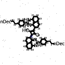 CCCCCCCCCCCCc1ccc(B2N=c3/c(=C4\C(=O)C(c5ccc6cccc7c6c5NB(c5ccc(CCCCCCCCCCCC)cc5)N7)=C4O)ccc4cccc(c34)N2)cc1